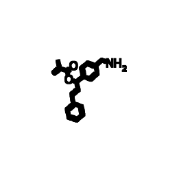 C=C(C)C(=O)OC(C=Cc1ccccc1)c1ccc(CN)cc1